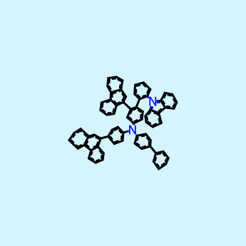 c1ccc(-c2ccc(N(c3ccc(-c4cc5ccccc5c5ccccc45)cc3)c3ccc(-c4ccccc4-n4c5ccccc5c5ccccc54)c(-c4cc5ccccc5c5ccccc45)c3)cc2)cc1